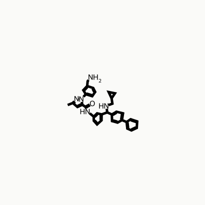 Cc1cc(C(=O)Nc2cccc(C(NCC3CC3)c3ccc(-c4ccccc4)cc3)c2)n(-c2cccc(CN)c2)n1